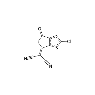 N#CC(C#N)=C1CC(=O)c2cc(Cl)sc21